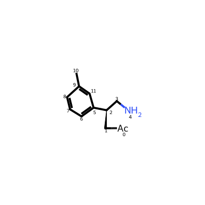 CC(=O)C[C@H](CN)c1cccc(C)c1